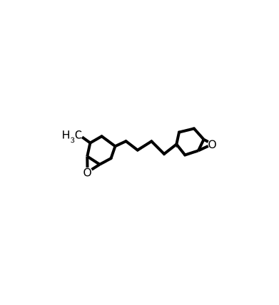 CC1CC(CCCC[C]2CCC3OC3C2)CC2OC12